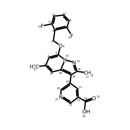 Cc1cc(OCc2c(F)cccc2F)n2nc(C)c(-c3cncc(C(=O)O)c3)c2c1